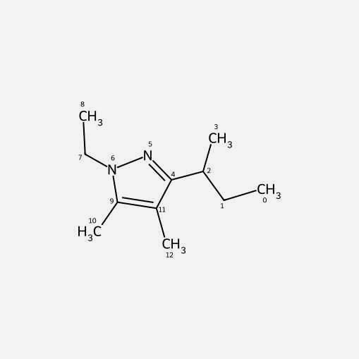 CCC(C)c1nn(CC)c(C)c1C